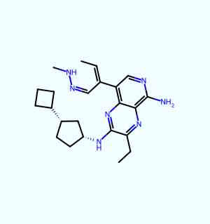 C/C=C(\C=N/NC)c1cnc(N)c2nc(CC)c(N[C@@H]3CC[C@H](C4CCC4)C3)nc12